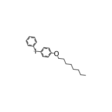 CCCCCCCCOc1ccc([I]c2ccccc2)cc1